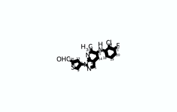 Cc1nc2c(cnn2-c2csc(C=O)c2)cc1Nc1cccc(F)c1Cl